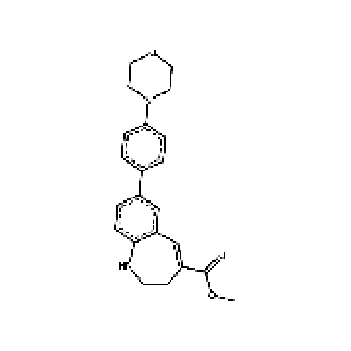 COC(=O)C1=Cc2cc(-c3ccc(N4CCOCC4)cc3)ccc2NCC1